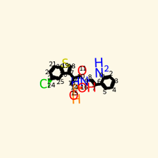 Nc1ccccc1/C=C/NC(=O)C(C[PH](=O)O)c1csc2ccc(Cl)cc12